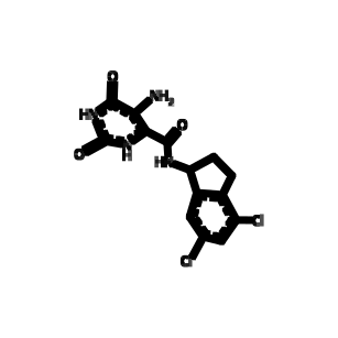 Nc1c(C(=O)NC2CCc3c(Cl)cc(Cl)cc32)[nH]c(=O)[nH]c1=O